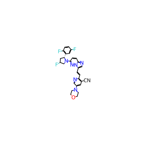 N#Cc1cc(N2CCOCC2)cnc1/C=C/c1cnc2ccc(N3C[C@@H](F)C[C@@H]3c3cc(F)ccc3F)nn12